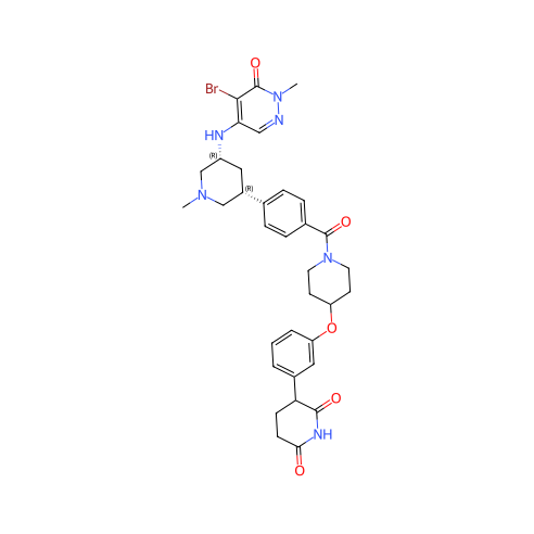 CN1C[C@H](Nc2cnn(C)c(=O)c2Br)C[C@H](c2ccc(C(=O)N3CCC(Oc4cccc(C5CCC(=O)NC5=O)c4)CC3)cc2)C1